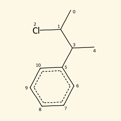 CC(Cl)C(C)c1ccccc1